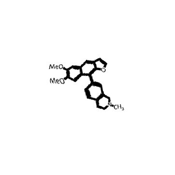 COc1cc2cc3ccoc3c(-c3ccc4c(c3)CN(C)CC4)c2cc1OC